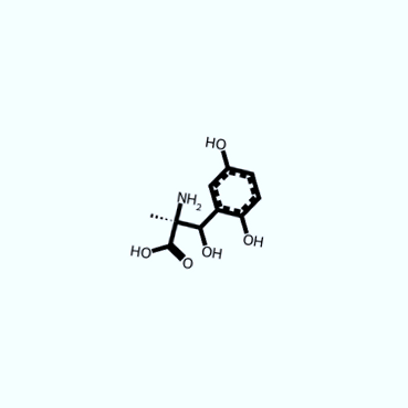 C[C@@](N)(C(=O)O)C(O)c1cc(O)ccc1O